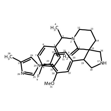 C=C1N(C(C)c2ccc(F)cc2)CCCC12CNCC2c1ccc(-n2cnc(C)c2)c(OC)c1